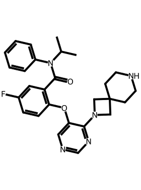 CC(C)N(C(=O)c1cc(F)ccc1Oc1cncnc1N1CC2(CCNCC2)C1)c1ccccc1